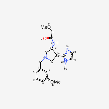 COCC(=O)N[C@@H]1CN(Cc2cccc(OC)c2)C[C@H]1c1nccn1C